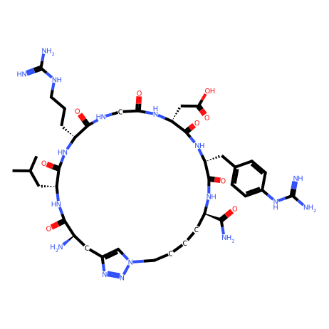 CC(C)C[C@H]1NC(=O)[C@H](N)Cc2cn(nn2)CCCC[C@H](C(N)=O)NC(=O)[C@@H](Cc2ccc(NC(=N)N)cc2)NC(=O)[C@@H](CC(=O)O)NC(=O)CNC(=O)[C@@H](CCCNC(=N)N)NC1=O